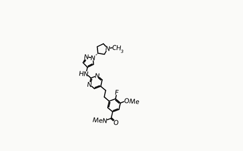 CNC(=O)c1cc(CCc2cnc(Nc3cnn([C@@H]4CCN(C)C4)c3)nc2)c(F)c(OC)c1